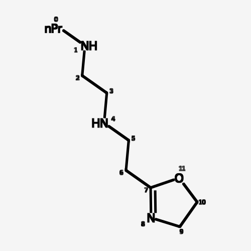 CCCNCCNCCC1=NCCO1